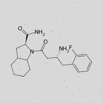 NC(=O)[C@@H]1CC2CCCCC2N1C(=O)C[C@H](N)Cc1ccccc1F